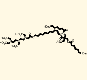 CCCCCCCCCCCCCCCC(=O)OCC(COC(C)=O)(COC(=O)CCCCCCCCCCCCCCC)C(=O)OCCCCCCCCCCCOC(=O)CN(CCN(CCN(CC(=O)O)CC(=O)O)CC(=O)O)CC(=O)O